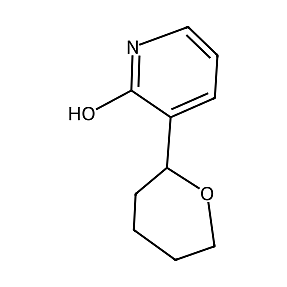 Oc1ncccc1C1CCCCO1